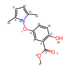 COC(=O)c1cc(On2c(C)ccc2C)ccc1O